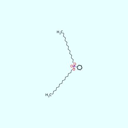 CCCCCCCCCCCCCCCOP(=O)(OCCCCCCCCCCCCCCC)c1ccccc1